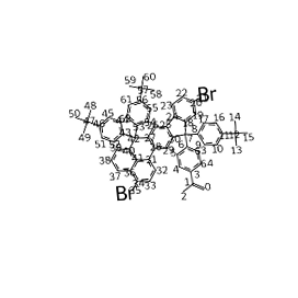 C=C(C)c1ccc(C2(c3ccc(C(C)(C)C)cc3)c3cc(Br)ccc3-c3cc4c(cc32)-c2ccc(Br)c3cccc(c23)C4(c2ccc(C(C)(C)C)cc2)c2ccc(C(C)(C)C)cc2)cc1